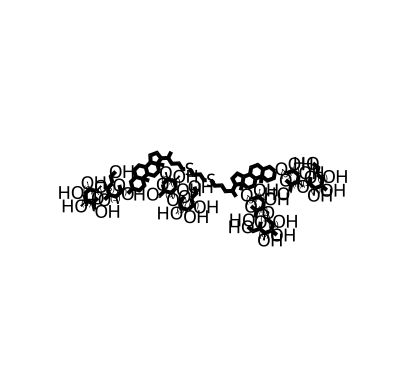 CC(CCCSCCCSCCCC(C)C1CCC2C3CCC4CC(O[C@@H]5OC(CO)[C@@H](O[C@H]6OC(CO)[C@@H](O)C(O)[C@@H]6O)C(O)[C@@H]5C)CCC4(C)C3CC(O[C@@H]3OC(CO)[C@@H](O[C@H]4OC(CO)[C@@H](O)C(O)[C@@H]4O)C(O)[C@@H]3O)C12C)C1CCC2C3CCC4CC(O[C@H]5OC(CO)[C@H](O[C@@H]6OC(CO)[C@H](O)C(O)[C@H]6O)C(O)[C@H]5O)CCC4(C)C3CC(O[C@H]3OC(CO)[C@H](O[C@@H]4OC(CO)[C@H](O)C(O)[C@H]4O)C(O)[C@H]3O)C12C